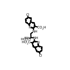 N.O=C(O)c1cc2cc(Cl)ccc2nc1NCC(Nc1nc2ccc(Cl)cc2cc1C(=O)O)C(=O)O